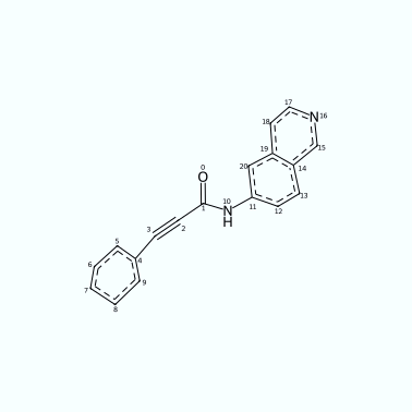 O=C(C#Cc1ccccc1)Nc1ccc2cnccc2c1